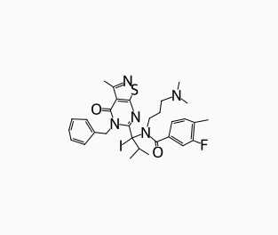 Cc1ccc(C(=O)N(CCCN(C)C)C(I)(c2nc3snc(C)c3c(=O)n2Cc2ccccc2)C(C)C)cc1F